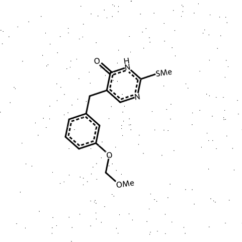 COCOc1cccc(Cc2cnc(SC)[nH]c2=O)c1